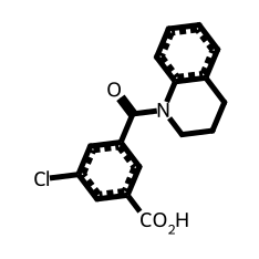 O=C(O)c1cc(Cl)cc(C(=O)N2CCCc3ccccc32)c1